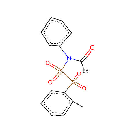 CCC(=O)N(c1ccccc1)S(=O)(=O)S(=O)(=O)c1ccccc1C